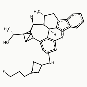 C[C@@H]1Cc2c([nH]c3ccccc23)[C@H]2c3c(F)cc(NC4CN(CCCF)C4)cc3C3C4CC3[C@@H](CC4[C@@H](C)O)N21